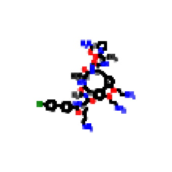 C[C@@H]1NC(=O)[C@@H](N(C)C(=O)[C@H](CCCCN)NC(=O)c2ccc(-c3ccc(Cl)cc3)cc2)c2ccc(OCCN)c(c2)-c2cc(ccc2OCCN)C[C@@H](C(=O)N[C@@H](C)C(=O)N2CCC[C@H]2C(N)=O)NC1=O